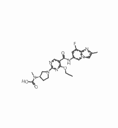 CCOc1nc(N2CC[C@@H](N(C)C(=O)O)C2)ncc1C(=O)Nc1cc(F)c2nc(C)cn2c1